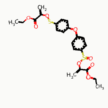 C=C(OSc1ccc(Oc2ccc(S(=O)OC(=C)C(=O)OCC)cc2)cc1)C(=O)OCC